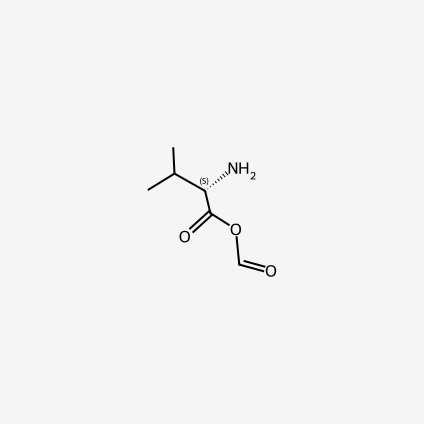 CC(C)[C@H](N)C(=O)OC=O